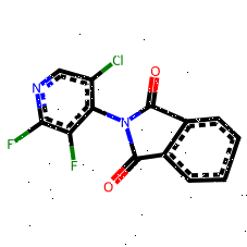 O=C1c2ccccc2C(=O)N1c1c(Cl)cnc(F)c1F